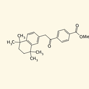 COC(=O)c1ccc(C(=O)Cc2ccc3c(c2)C(C)(C)CCC3(C)C)cc1